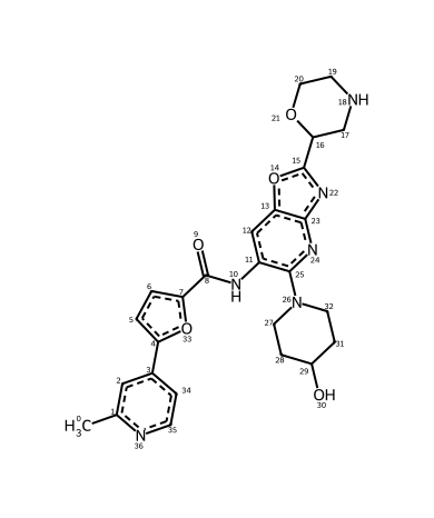 Cc1cc(-c2ccc(C(=O)Nc3cc4oc(C5CNCCO5)nc4nc3N3CCC(O)CC3)o2)ccn1